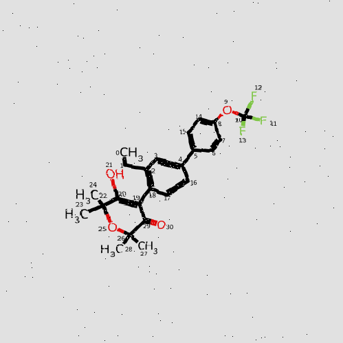 CCc1cc(-c2ccc(OC(F)(F)F)cc2)ccc1C1=C(O)C(C)(C)OC(C)(C)C1=O